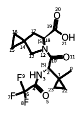 CC1([C@H](NC(=O)C(F)(F)F)C(=O)N2CC3(CC3)C[C@H]2C(=O)O)CC1